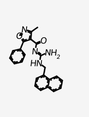 Cc1noc(-c2ccccc2)c1C(=O)/N=C(\N)NCc1cccc2ccccc12